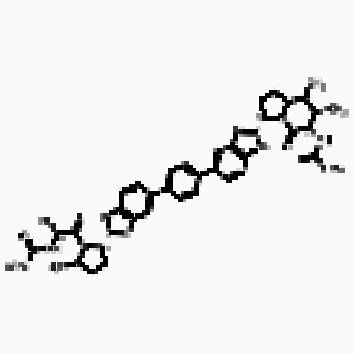 COC(=O)N[C@H](C(=O)N1C(C)CC[C@H]1c1nc2cc(-c3ccc(-c4ccc5[nH]c([C@@H]6CCC7C(C)C(C)[C@H](NC(=O)OC)C(=O)N76)nc5c4)cc3)ccc2[nH]1)C(C)C